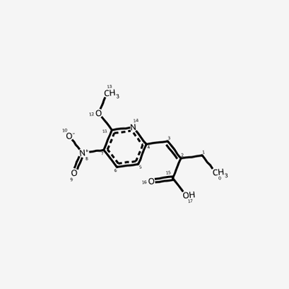 CCC(=Cc1ccc([N+](=O)[O-])c(OC)n1)C(=O)O